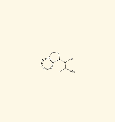 CCCCC(C)N(C(C)C)[C@H]1CCc2ccccc21